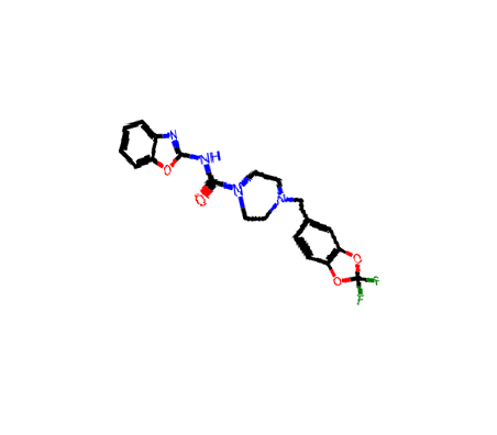 O=C(Nc1nc2ccccc2o1)N1CCN(Cc2ccc3c(c2)OC(F)(F)O3)CC1